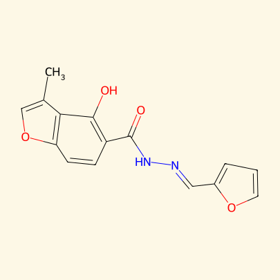 Cc1coc2ccc(C(=O)NN=Cc3ccco3)c(O)c12